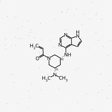 C=CC(=O)N1C[C@H](Nc2ncnc3[nH]ccc23)C[C@H](N(C)C)C1